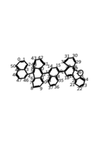 c1ccc2c(-c3c4ccccc4c(-c4ccc(-c5cc6c7ccccc7oc6c6ccccc56)c5ccccc45)c4ccccc34)cccc2c1